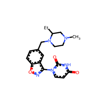 CCC1CN(C)CCN1Cc1ccc2onc(-n3ccc(=O)[nH]c3=O)c2c1